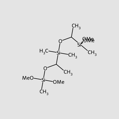 CO[Si](C)(OC)OC(C)[Si](C)(C)OC(C)[Si](C)(OC)OC